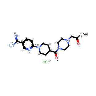 COC(=O)CN1CCN(C(=O)C2CCN(c3ccc(C(=N)N)cn3)CC2)CC1.Cl